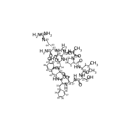 CC(C)C[C@H](NC(=O)[C@@H]1CCCN1C(=O)[C@H](C)N)C(=O)N[C@@H](CO)C(=O)NCC(=O)N[C@@H](Cc1ccccc1)C(=O)N[C@@H](Cc1ccc(O)cc1)C(=O)NCC(=O)N[C@H](C(=O)N[C@@H](CCCN=C(N)N)C(N)=O)C(C)C